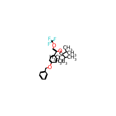 CC(C)[Si](O/C(=C\OC(F)(F)F)c1ccc(OCc2ccccc2)cc1)(C(C)C)C(C)C